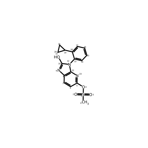 CS(=O)(=O)Oc1ccc2nc(O)n(-c3ccccc3C3CC3)c2n1